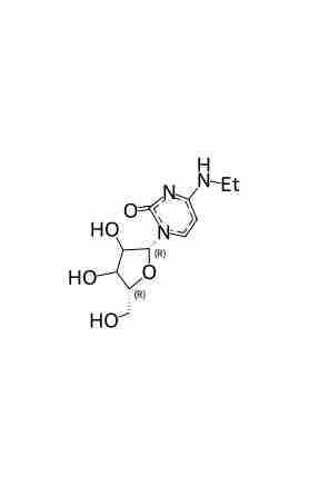 CCNc1ccn([C@@H]2O[C@H](CO)C(O)C2O)c(=O)n1